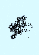 COC(=O)c1ccc(NC(=O)C23C(c4ccc(NC(=O)c5ccc([N+](=O)[O-])c(OCc6ccccc6)n5)c(OCc5ccccc5)n4)C(C)CCC2C3(C)C)c(OCc2ccccc2)n1